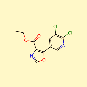 CCOC(=O)c1ncoc1-c1cnc(Cl)c(Cl)c1